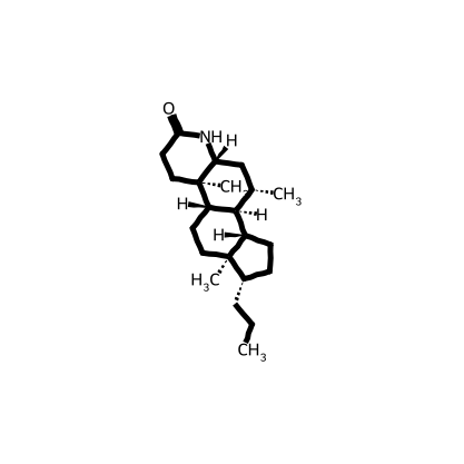 CCC[C@H]1CC[C@H]2[C@@H]3[C@@H](C)C[C@H]4NC(=O)CC[C@]4(C)[C@H]3CC[C@]12C